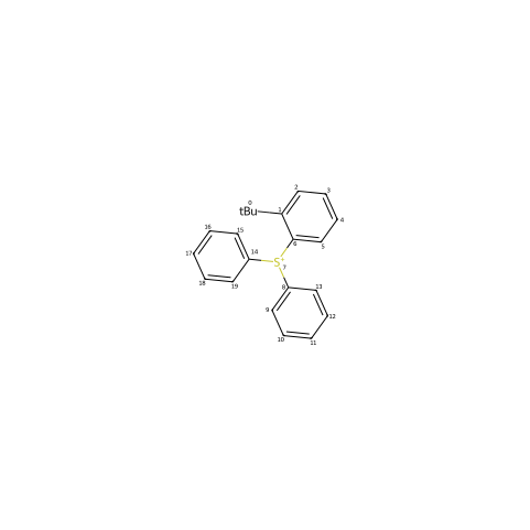 CC(C)(C)c1ccccc1[S+](c1ccccc1)c1ccccc1